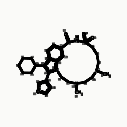 CN1CCCS(=O)(=O)NC(=O)c2ccc3c(C4CCCCC4)c(-c4ccoc4)n(c3c2)CCN(C)CC1